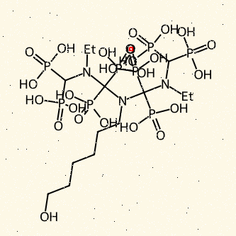 CCN(C(P(=O)(O)O)P(=O)(O)O)C(N(CCCCCCO)C(N(CC)C(P(=O)(O)O)P(=O)(O)O)(P(=O)(O)O)P(=O)(O)O)(P(=O)(O)O)P(=O)(O)O